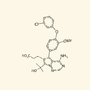 COc1cc(-c2c(CCC(=O)O)c(C(C)(C)O)n3ncnc(N)c23)ccc1Oc1cccc(Cl)c1